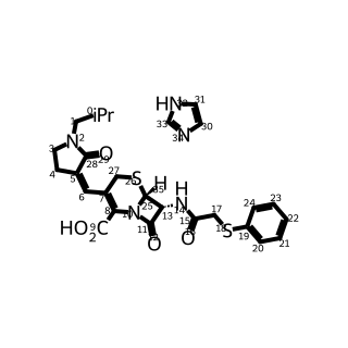 CC(C)CN1CCC(=CC2=C(C(=O)O)N3C(=O)[C@@H](NC(=O)CSc4ccccc4)[C@H]3SC2)C1=O.c1c[nH]cn1